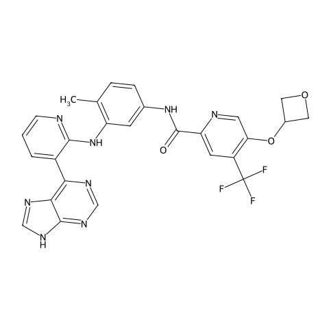 Cc1ccc(NC(=O)c2cc(C(F)(F)F)c(OC3COC3)cn2)cc1Nc1ncccc1-c1ncnc2[nH]cnc12